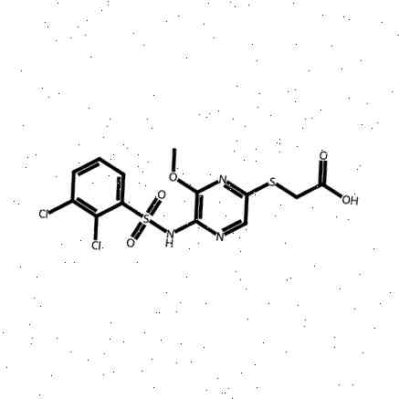 COc1nc(SCC(=O)O)cnc1NS(=O)(=O)c1cccc(Cl)c1Cl